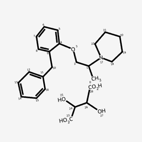 CC(COc1ccccc1Cc1ccccc1)N1CCCCC1.O=C(O)C(O)C(O)C(=O)O